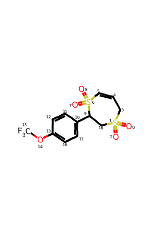 O=S1(=O)CC=CS(=O)(=O)C(c2ccc(OC(F)(F)F)cc2)C1